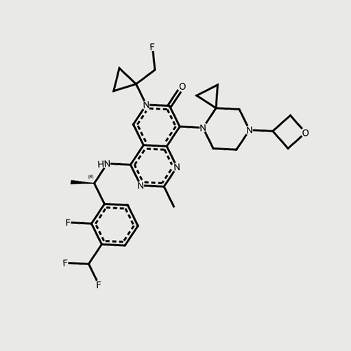 Cc1nc(N[C@H](C)c2cccc(C(F)F)c2F)c2cn(C3(CF)CC3)c(=O)c(N3CCN(C4COC4)CC34CC4)c2n1